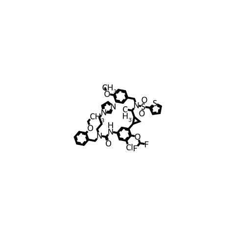 CCOc1ccccc1CN(CCCn1ccnc1)C(=O)Nc1cc(Cl)c(OC(F)F)c(C2CC2C(C)N(Cc2ccc(OC)cc2)S(=O)(=O)c2cccs2)c1